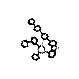 c1ccc(C2=NC(c3cccc4oc5ccc(-c6ccc(-c7ccc(-c8ccccc8)cc7)cc6)cc5c34)CNC(c3cccc(-c4ccccc4)c3)=N2)cc1